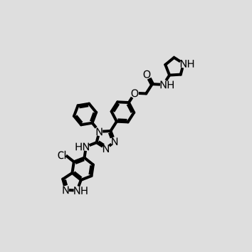 O=C(COc1ccc(-c2nnc(Nc3ccc4[nH]ncc4c3Cl)n2-c2ccccc2)cc1)NC1CCNC1